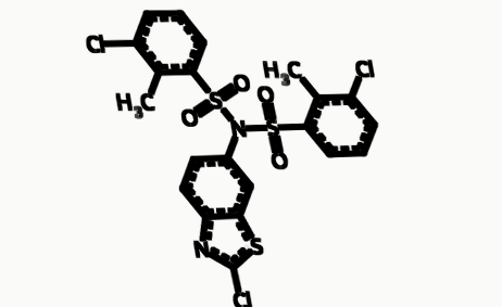 Cc1c(Cl)cccc1S(=O)(=O)N(c1ccc2nc(Cl)sc2c1)S(=O)(=O)c1cccc(Cl)c1C